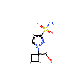 NS(=O)(=O)c1ccn(C2(CO)CCC2)n1